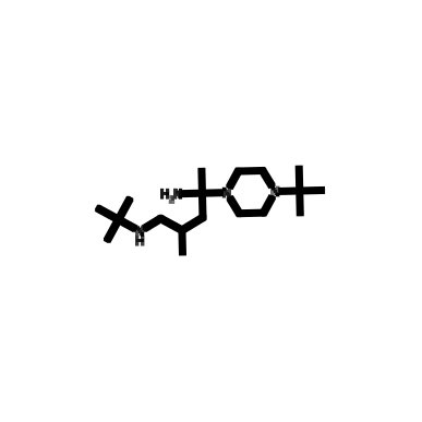 CC(CNC(C)(C)C)CC(C)(N)N1CCN(C(C)(C)C)CC1